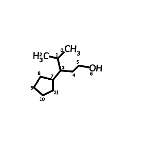 CC(C)C(CCO)C1CCCC1